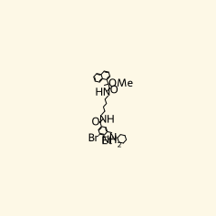 CCN(Cc1cc(C(=O)NCCCCCCNC(=O)C(C)(OC)c2cccc3ccccc23)cc(Br)c1N)C1CCCCC1